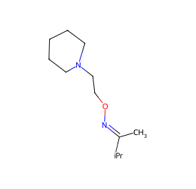 C/C(=N\OCCN1CCCCC1)C(C)C